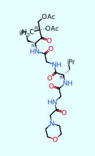 CC(=O)OC[C@@](C)(OC(C)=O)C(=O)[C@H](CC(C)C)NC(=O)CNC(=O)[C@H](CC(C)C)NC(=O)CNC(=O)CN1CCOCC1